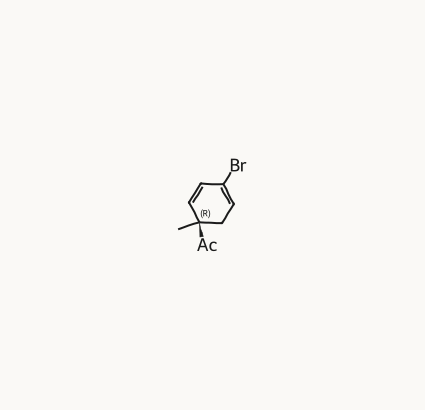 CC(=O)[C@@]1(C)C=CC(Br)=CC1